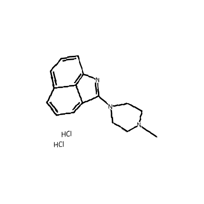 CN1CCN(C2=Nc3cccc4cccc2c34)CC1.Cl.Cl